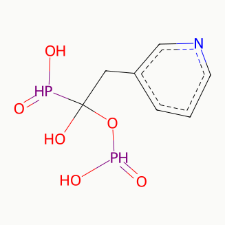 O=[PH](O)OC(O)(Cc1cccnc1)[PH](=O)O